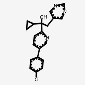 OC(Cc1cncnc1)(c1ccc(-c2ccc(Cl)cc2)cn1)C1CC1